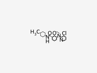 CC1CCC(NC(=O)c2cccc3c2OCCN3c2ncccc2Cl)CC1